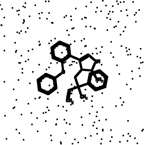 C=CC(C)(CC1C(c2ccccc2Oc2ccccc2)=CNC1N)c1ccccc1